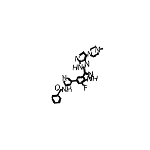 CN1CCN(c2ccnc3[nH]c(-c4n[nH]c5c(F)cc(-c6cncc(NC(=O)c7ccccc7)c6)cc45)nc23)CC1